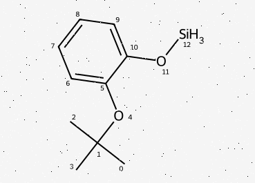 CC(C)(C)Oc1ccccc1O[SiH3]